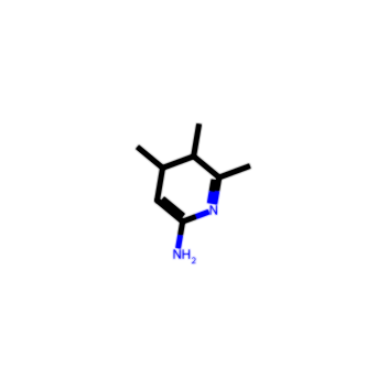 CC1=NC(N)=CC(C)C1C